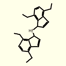 CCc1ccc(CC)c2c1C=C[CH]2[Hf][CH]1C=Cc2c(CC)ccc(CC)c21